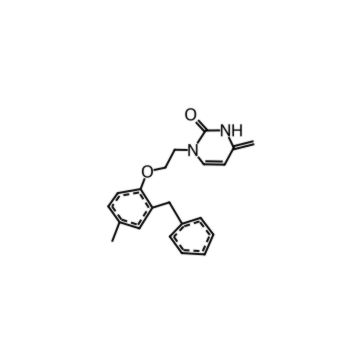 C=C1C=CN(CCOc2ccc(C)cc2Cc2ccccc2)C(=O)N1